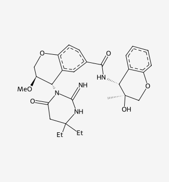 CCC1(CC)CC(=O)N([C@H]2c3cc(C(=O)N[C@@H]4c5ccccc5OC[C@@]4(C)O)ccc3OC[C@@H]2OC)C(=N)N1